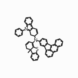 CC12CC=CC(N(c3ccc4c(c3)-c3cccc5cc6ccccc6c-4c35)C3C=Cc4c(n(-c5ccccc5)c5ccccc45)C3)=C1Sc1ccccc12